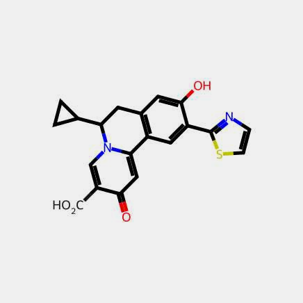 O=C(O)c1cn2c(cc1=O)-c1cc(-c3nccs3)c(O)cc1CC2C1CC1